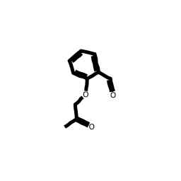 CC(=O)COc1ccccc1C=O